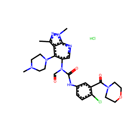 Cc1nn(C)c2ncc(N(C=O)C(=O)Nc3ccc(Cl)c(C(=O)N4CCOCC4)c3)c(N3CCN(C)CC3)c12.Cl